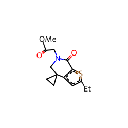 CCc1cc2c(s1)C(=O)N(CC(=O)OC)CC21CC1